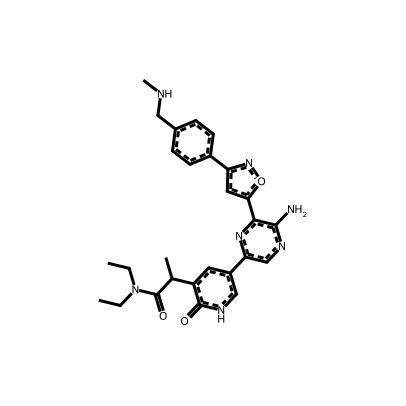 CCN(CC)C(=O)C(C)c1cc(-c2cnc(N)c(-c3cc(-c4ccc(CNC)cc4)no3)n2)c[nH]c1=O